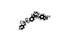 CCN(Cc1ccncc1)C(=O)OC1CCc2c(sc3ncnc(Nc4ccc5[nH]ncc5c4)c23)C1